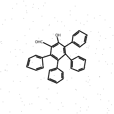 O=Cc1c(O)c(-c2ccccc2)c(-c2ccccc2)c(-c2ccccc2)c1-c1ccccc1